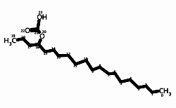 CCCCCCCCCCCCCCCCC(CCC)OC(=O)O